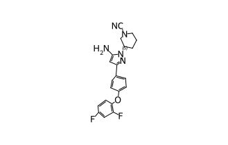 N#CN1CCC[C@H](n2nc(-c3ccc(Oc4ccc(F)cc4F)cc3)cc2N)C1